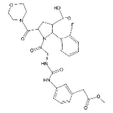 COC(=O)Cc1cccc(NC(=O)NCC(=O)N2C(C(=O)N3CCOCC3)CC(C(=O)O)C2c2ccccc2F)c1